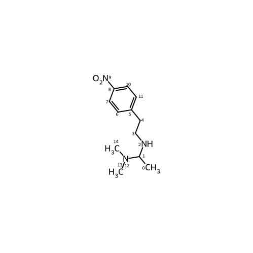 CC(NCCc1ccc([N+](=O)[O-])cc1)N(C)C